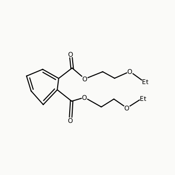 CCOCCOC(=O)c1ccccc1C(=O)OCCOCC